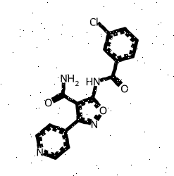 NC(=O)c1c(-c2ccncc2)noc1NC(=O)c1cccc(Cl)c1